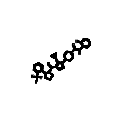 O=C(Nc1ccccc1F)N1CCC(n2ncc(C(=O)N3CCCC3c3ccccc3C(F)(F)F)c2C2CC2)CC1